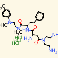 CN(CCN(C=O)c1ccc(C(F)(F)F)cc1)C(=O)[C@H](CCc1ccccc1)NC(=O)C(N)CC(=O)N(CCN)CCN.Cl.Cl.Cl